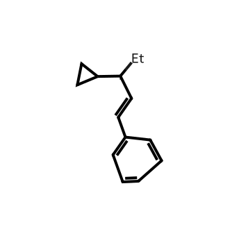 CC[C](C=Cc1ccccc1)C1CC1